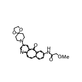 COCC(=O)Nc1ccc2ccc3ncc(N4CCC5(CC4)OCCO5)cc3c(=O)c2c1